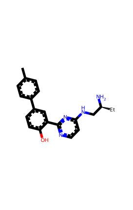 CC[C@H](N)CNc1ccnc(-c2cc(-c3ccc(C)cc3)ccc2O)n1